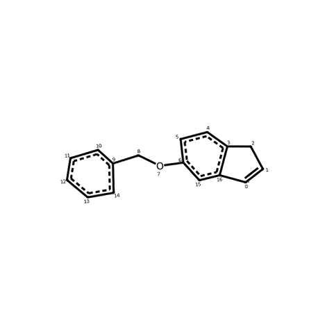 [C]1=CCc2ccc(OCc3ccccc3)cc21